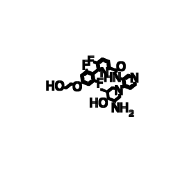 C[C@H]1CN(c2ccncc2NC(=O)c2ccc(F)c(-c3c(F)cc(OCCO)cc3F)n2)C[C@@H](N)[C@@H]1O